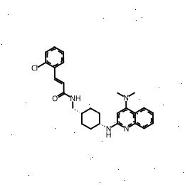 CN(C)c1cc(N[C@H]2CC[C@@H](CNC(=O)C=Cc3ccccc3Cl)CC2)nc2ccccc12